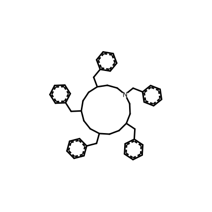 c1ccc(CC2CCC(Cc3ccccc3)CCC(Cc3ccccc3)CCN(Cc3ccccc3)CCC(Cc3ccccc3)CC2)cc1